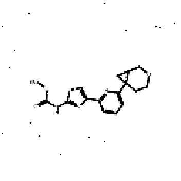 CC(C)(C)OC(=O)Nc1nc(-c2cccc(C34CCOCC3C4)n2)cs1